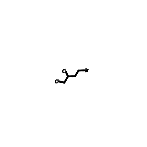 ClCC(Cl)CCBr